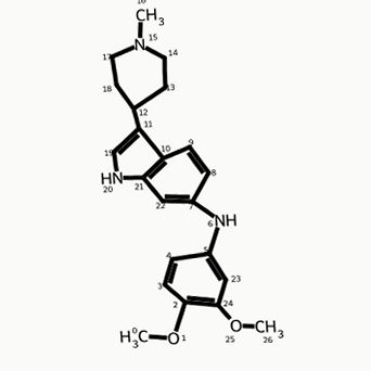 COc1ccc(Nc2ccc3c(C4CCN(C)CC4)c[nH]c3c2)cc1OC